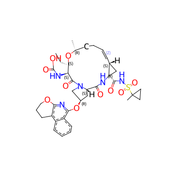 CC[C@@H]1O[C@H](C)CC/C=C\[C@@H]2C[C@@]2(C(=O)NS(=O)(=O)C2(C)CC2)NC(=O)[C@@H]2C[C@@H](Oc3nc4c(c5ccccc35)CCCO4)CN2C(=O)[C@H]1NC(=O)O